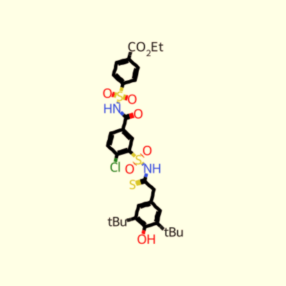 CCOC(=O)c1ccc(S(=O)(=O)NC(=O)c2ccc(Cl)c(S(=O)(=O)NC(=S)Cc3cc(C(C)(C)C)c(O)c(C(C)(C)C)c3)c2)cc1